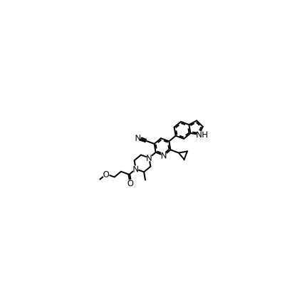 COCCC(=O)N1CCN(c2nc(C3CC3)c(-c3ccc4cc[nH]c4c3)cc2C#N)CC1C